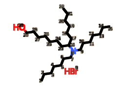 Br.CCCCCCCN(CCCCCCC)C(CCCCCC)CCCCCCCO